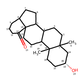 CC12CCC3C4CCC5CCCC(=O)C54CCC3C1(C)CC[C@@H](O)C2